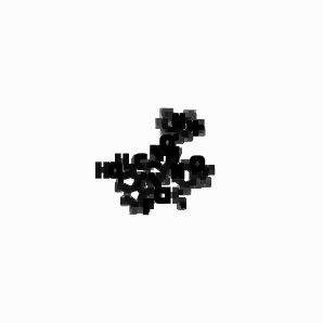 CCc1c(F)ccc2cc(O)cc(-c3ncc4c(N5CCC[C@@]6(CCO6)C5)nc(OC[C@@]56CCCN5C[C@H](F)C6)nc4c3C)c12